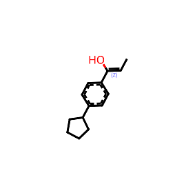 C/C=C(\O)c1ccc(C2CCCC2)cc1